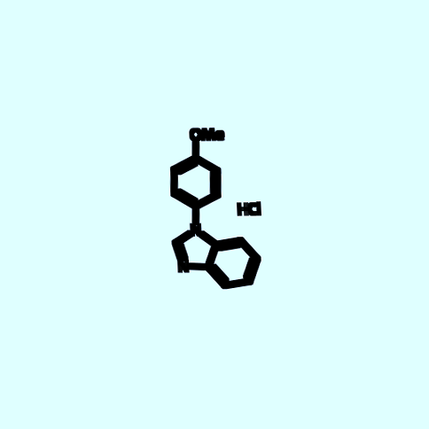 COc1ccc(-n2cnc3ccccc32)cc1.Cl